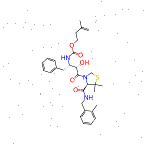 C=C(C)CCOC(=O)N[C@@H](Cc1ccccc1)[C@H](O)C(=O)N1CSC(C)(C)[C@H]1C(=O)NCc1ccccc1C